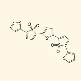 O=S1(=O)C(c2cccs2)=CC=C1c1ccc(C2=CC=C(c3cccs3)S2(=O)=O)s1